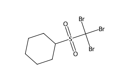 O=S(=O)(C1CCCCC1)C(Br)(Br)Br